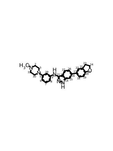 CN1CCN(c2cccc(Nc3n[nH]c4cc(-c5ccc6c(c5)CCO6)ccc34)c2)CC1